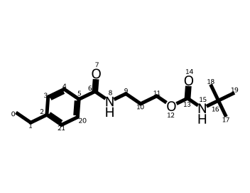 CCc1ccc(C(=O)NCCCOC(=O)NC(C)(C)C)cc1